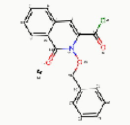 O=C(Cl)c1cc2ccccc2c(=O)n1OCc1ccccc1.[Ar]